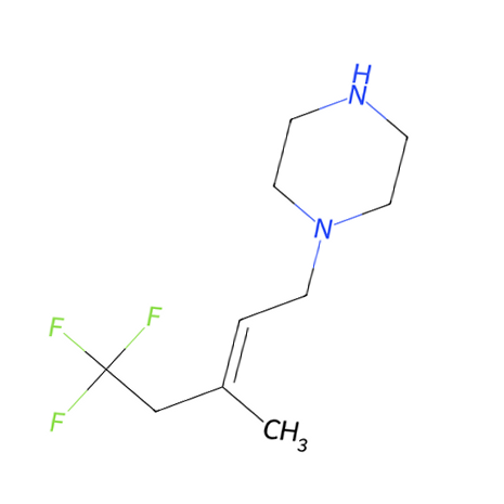 C/C(=C\CN1CCNCC1)CC(F)(F)F